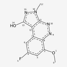 COc1cc(F)cc2c1nnc1c2c(O)nn1C